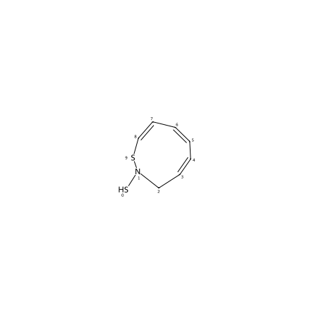 SN1CC=CC=CC=CS1